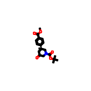 COC(=O)c1ccc([C@H]2CC(=O)CN(C(=O)OC(C)(C)C)C2)cc1